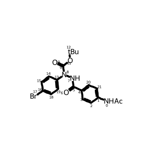 CC(=O)Nc1ccc(C(=O)NN(C(=O)OC(C)(C)C)c2ccc(Br)cc2)cc1